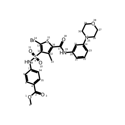 COC(=O)c1ccc(NS(=O)(=O)c2c(Br)sc(C(=O)Nc3cccc(N4CCOCC4)c3)c2C)cc1